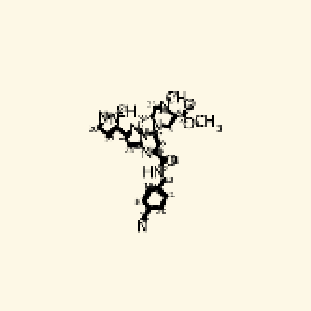 COC(=O)[C@H]1CN(c2cc(C(=O)NCc3ccc(C#N)cc3)nc3cc(-c4ccnn4C)nn23)CCN1C